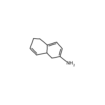 NC1=CC=C2CCC=CC2C1